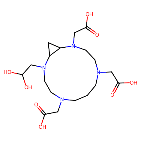 O=C(O)CN1CCCN(CC(=O)O)CCN(CC(O)O)C2CC2N(CC(=O)O)CC1